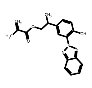 C=C(C)C(=O)OCC(C)c1ccc(O)c(-n2nc3ccccc3n2)c1